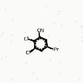 CC(C)c1cc(Cl)c(Cl)c(C#N)c1